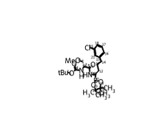 COC[C@@H](NC(=O)OC(C)(C)C)C(=O)N[C@@H](CCCc1cccc(Cl)c1)B1OC(C)(C)C(C)(C)O1